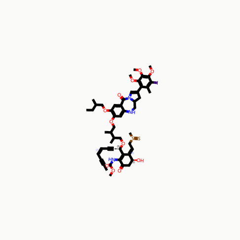 CC#C/C=C\C#C[C@H](OCC(C)C(C)COc1cc2c(cc1OCC(C)CC)C(=O)N1C=C(c3c(C)c(I)c(OC)c(OC)c3OC)CC1CN2)C1=C(NC(=O)OC)C(=O)C[C@H](O)/C1=C/CS(C)=S